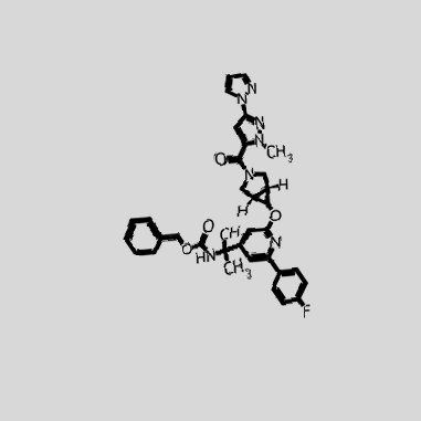 Cn1nc(-n2cccn2)cc1C(=O)N1C[C@@H]2C(Oc3cc(C(C)(C)NC(=O)OCc4ccccc4)cc(-c4ccc(F)cc4)n3)[C@@H]2C1